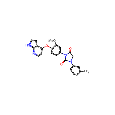 COc1cc(N2C(=O)CN(c3cccc(C(F)(F)F)c3)C2=O)ccc1Oc1ccnc2[nH]ccc12